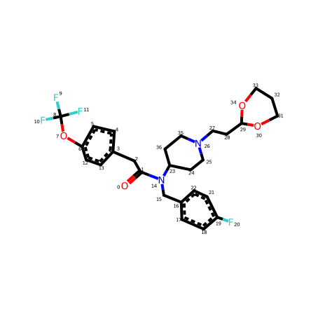 O=C(Cc1ccc(OC(F)(F)F)cc1)N(Cc1ccc(F)cc1)C1CCN(CCC2OCCCO2)CC1